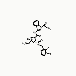 NC[C@@]1(F)C[C@@H](C(=O)NCc2cccc(Cl)c2F)N(C(=O)Nc2cn(C(N)=O)c3ccccc23)C1